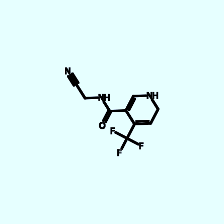 N#CCNC(=O)C1=CNCC=C1C(F)(F)F